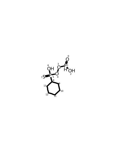 O=[PH](O)OOP(O)(=S)C1CCCCC1